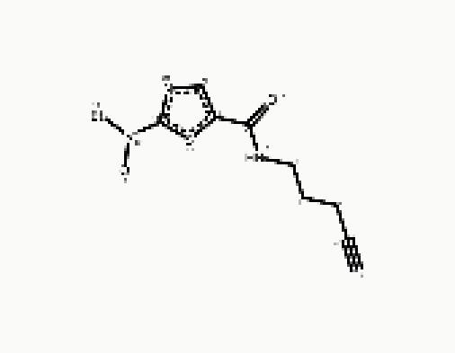 C#CCCCNC(=O)c1cnc([S+]([O-])CC)s1